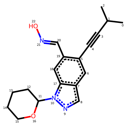 CC(C)C#Cc1cc2cnn(C3CCCCO3)c2cc1C=NO